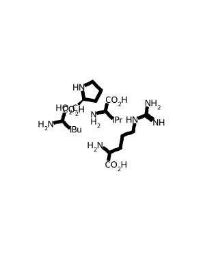 CC(C)C(N)C(=O)O.CCC(C)C(N)C(=O)O.N=C(N)NCCCC(N)C(=O)O.O=C(O)[C@@H]1CCCN1